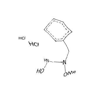 CON(Cc1ccccc1)NO.Cl.Cl